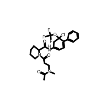 CC(=O)N(C)CCC(=O)N1CCCCC1C(=O)NC1=CC=C(c2ccccc2)C(Cl)(OC(F)(F)F)C1